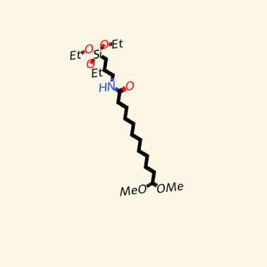 CCO[Si](CCCNC(=O)CCCCCCCCCCC(OC)OC)(OCC)OCC